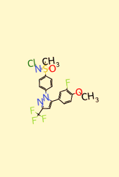 COc1ccc(-c2cc(C(F)(F)F)nn2-c2ccc(S(C)(=O)=NCl)cc2)cc1F